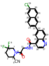 N#CC1CCC(F)(F)CN1C(=O)CNC(=O)c1ccnc2ccc(-c3ccc4cc(Cl)ccc4c3)cc12